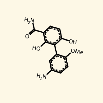 COc1ccc(N)cc1-c1c(O)ccc(C(N)=O)c1O